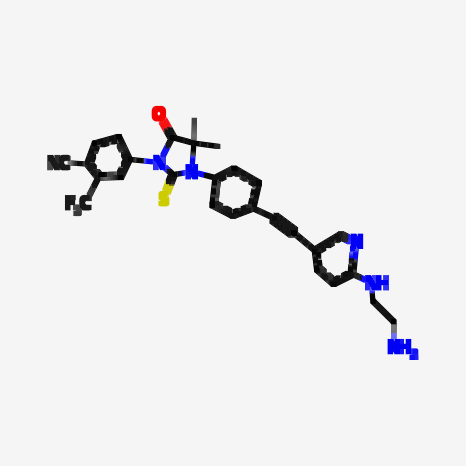 CC1(C)C(=O)N(c2ccc(C#N)c(C(F)(F)F)c2)C(=S)N1c1ccc(C#Cc2ccc(NCCN)nc2)cc1